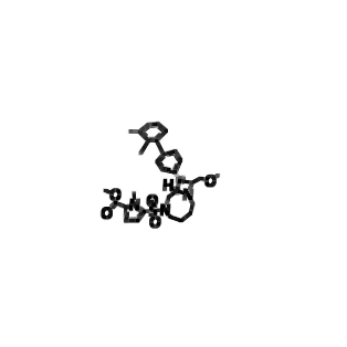 COCC1[C@@H](c2ccc(-c3cccc(C)c3C)cc2)[C@@H]2CN(S(=O)(=O)c3ccc(C(=O)OC)n3C)CCCCN12